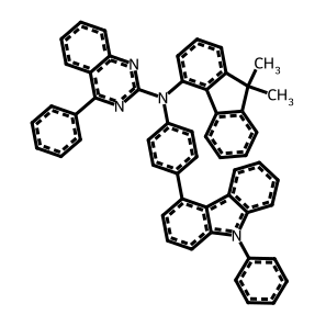 CC1(C)c2ccccc2-c2c(N(c3ccc(-c4cccc5c4c4ccccc4n5-c4ccccc4)cc3)c3nc(-c4ccccc4)c4ccccc4n3)cccc21